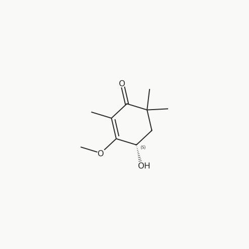 COC1=C(C)C(=O)C(C)(C)C[C@@H]1O